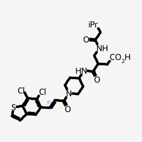 CC(C)CC(=O)NCC(CC(=O)O)C(=O)NC1CCN(C(=O)/C=C/c2cc3ccsc3c(Cl)c2Cl)CC1